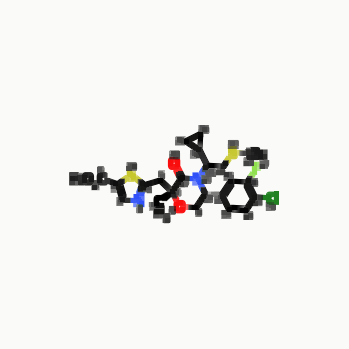 CCOC(=O)c1cnc(C[C@@]2(C)OC[C@@H](c3ccc(Cl)c(F)c3)N(C(CSC(C)(C)C)C3CC3)C2=O)s1